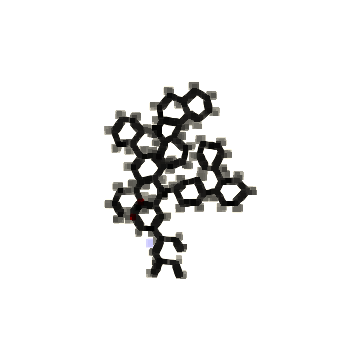 C=CC(=C)/C=C(\C=C)c1cccc(N(c2ccc(C3CC=CC=C3c3ccccc3)cc2)c2ccc(-c3ccccc3-n3c4ccccc4c4c5ccccc5ccc43)cc2-c2ccccc2)c1